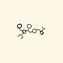 CCN(CC)c1oc(C(CC2CCC(Cc3sccc3N(C)C)CC2)N2CCCCC2)nc1Cc1ccccc1